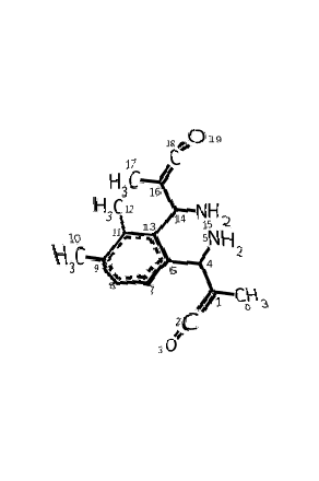 CC(=C=O)C(N)c1ccc(C)c(C)c1C(N)C(C)=C=O